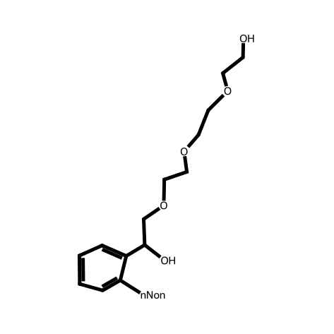 CCCCCCCCCc1ccccc1C(O)COCCOCCOCCO